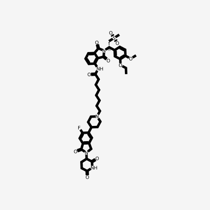 CCOc1cc([C@@H](CS(C)(=O)=O)N2C(=O)c3cccc(NC(=O)CCCCCCCN4CCC(c5cc6c(cc5F)C(=O)N(C5CCC(=O)NC5=O)C6)CC4)c3C2=O)ccc1OC